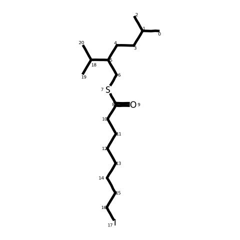 CC(C)CCC(CSC(=O)CCCCCCCI)C(C)C